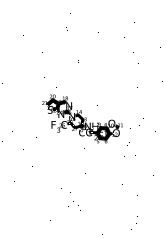 CCOC(=O)C1(NCc2ccc3c(c2)OCO3)CCN(c2ncc3ccsc3n2)C(C(F)(F)F)C1